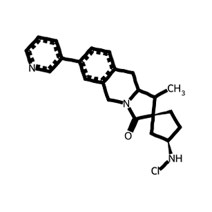 CC1C2Cc3ccc(-c4cccnc4)cc3CN2C(=O)[C@]12CC[C@@H](NCl)C2